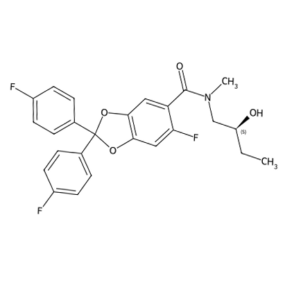 CC[C@H](O)CN(C)C(=O)c1cc2c(cc1F)OC(c1ccc(F)cc1)(c1ccc(F)cc1)O2